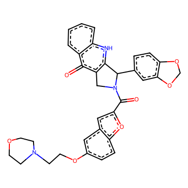 O=C(c1cc2cc(OCCN3CCOCC3)ccc2o1)N1Cc2c([nH]c3ccccc3c2=O)C1c1ccc2c(c1)OCO2